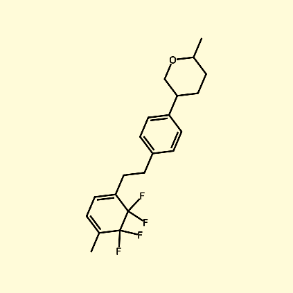 CC1=CC=C(CCc2ccc(C3CCC(C)OC3)cc2)C(F)(F)C1(F)F